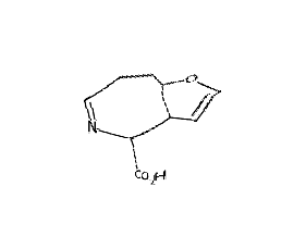 O=C(O)C1N=CCC2OC=CC21